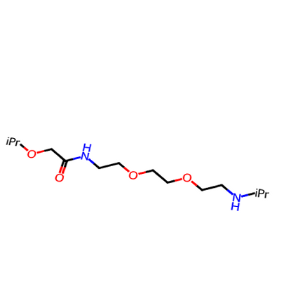 CC(C)NCCOCCOCCNC(=O)COC(C)C